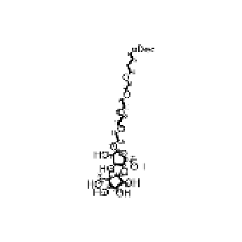 CCCCCCCCCCCCCCOCCOCCOCCOCCO[C@H]1O[C@H](CO)[C@@H](O[C@@H]2O[C@H](CO)[C@H](O)[C@H](O)[C@H]2O)[C@H](O)[C@H]1O